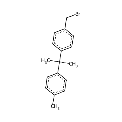 Cc1ccc(C(C)(C)c2ccc(CBr)cc2)cc1